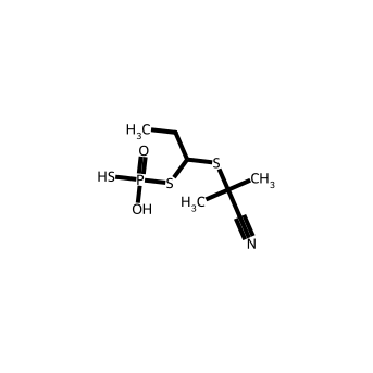 CCC(SC(C)(C)C#N)SP(=O)(O)S